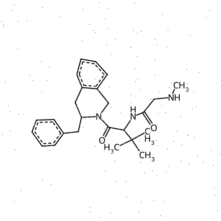 CNCC(=O)NC(C(=O)N1Cc2ccccc2CC1Cc1ccccc1)C(C)(C)C